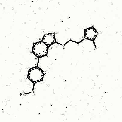 Cc1nccn1CCOc1noc2ccc(-c3ccc(OC(F)(F)F)cc3)cc12